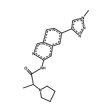 CC(C(=O)Nc1cc2cc(-c3cn(C)nn3)ccc2cn1)N1CCCC1